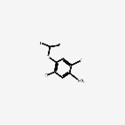 O=[N+]([O-])c1cc(Cl)c(OC(F)F)cc1F